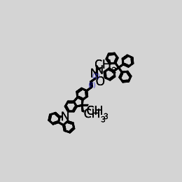 C=N/N=C(/C=C/c1ccc2c(c1)C(CC)(CC)c1cc(-n3c4ccccc4c4ccccc43)ccc1-2)Oc1ccc(C(c2ccccc2)(c2ccccc2)c2ccccc2)cc1